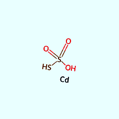 O=S(=O)(O)S.[Cd]